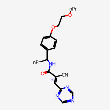 CCCOCCOc1ccc(C(CCC)NC(=O)/C(C#N)=C/c2ncncn2)cc1